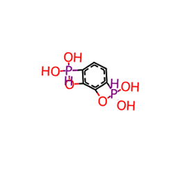 O[PH]1(O)Oc2c1ccc1c2O[PH]1(O)O